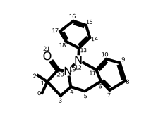 CC1(C)CC2Cc3ccccc3N(c3ccccc3)N2C1=O